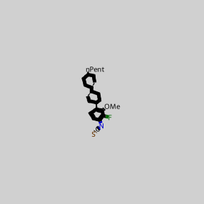 CCCCC[C@H]1CC[C@H]([C@H]2CC[C@H](c3ccc(N=C=S)c(F)c3OC)CC2)CC1